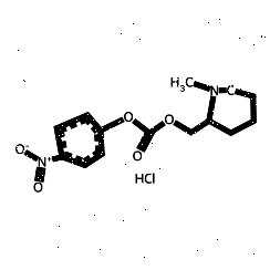 CN1CCCCC1COC(=O)Oc1ccc([N+](=O)[O-])cc1.Cl